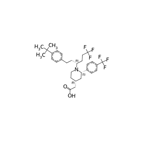 CC(C)(C)c1ccc(CC[C@H](CCC(F)(F)F)N2CC[C@@H](CC(=O)O)C[C@H]2c2ccc(C(F)(F)F)cc2)cc1